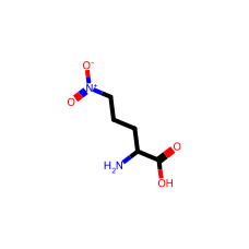 NC(CCC[N+](=O)[O-])C(=O)O